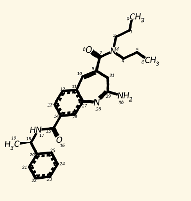 CCCN(CCC)C(=O)C1=Cc2ccc(C(=O)N[C@H](C)c3ccccc3)cc2N=C(N)C1